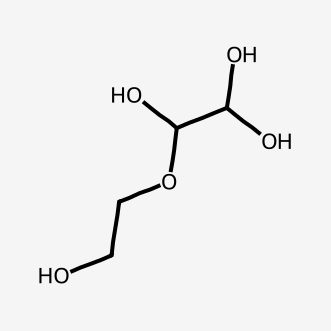 OCCOC(O)C(O)O